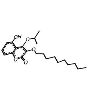 CCCCCCCCCCOc1c(OC(C)C)c2c(O)cccc2oc1=O